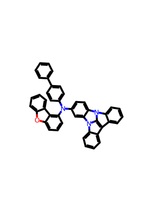 c1ccc(-c2ccc(N(c3ccc4c(c3)n3c5ccccc5c5c6ccccc6n4c53)c3cccc4oc5ccccc5c34)cc2)cc1